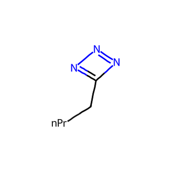 CCCCC1=NN=N1